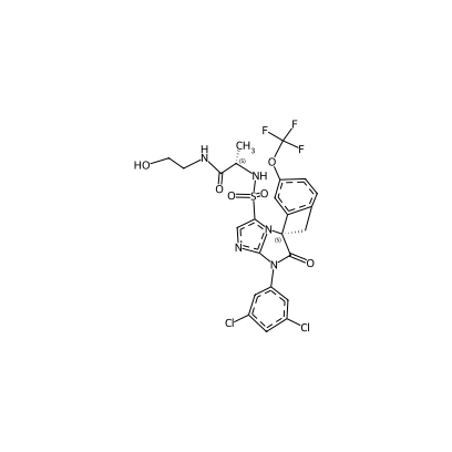 C[C@H](NS(=O)(=O)c1cnc2n1[C@]1(Cc3ccc(OC(F)(F)F)cc31)C(=O)N2c1cc(Cl)cc(Cl)c1)C(=O)NCCO